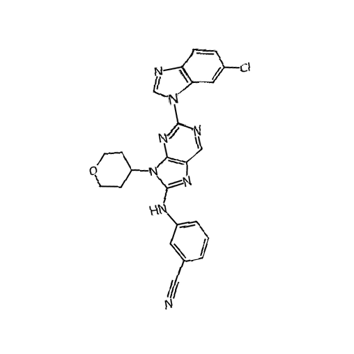 N#Cc1cccc(Nc2nc3cnc(-n4cnc5ccc(Cl)cc54)nc3n2C2CCOCC2)c1